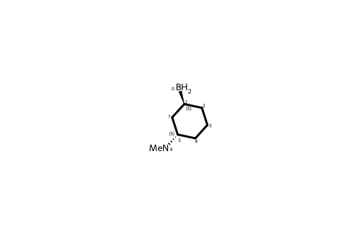 B[C@H]1CCC[C@H](NC)C1